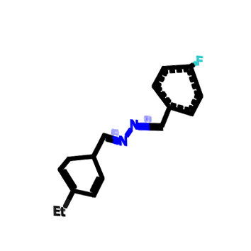 CCC1=CCC(/C=N/N=C/c2ccc(F)cc2)C=C1